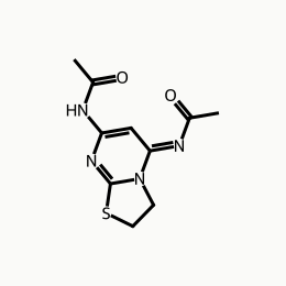 CC(=O)N=c1cc(NC(C)=O)nc2n1CCS2